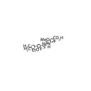 CCOc1c(C2=CCC(C)(C)CC2)ccc(-c2nc(SNc3cc(F)c(C(=O)O)cc3OC)cs2)c1F